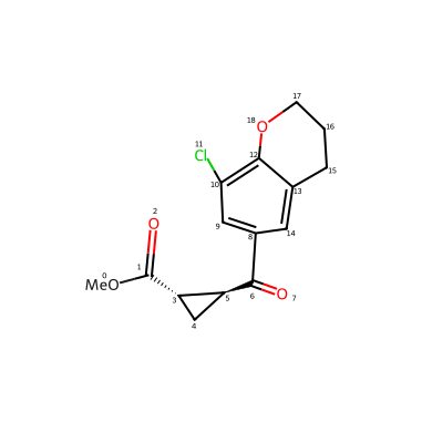 COC(=O)[C@H]1C[C@@H]1C(=O)c1cc(Cl)c2c(c1)CCCO2